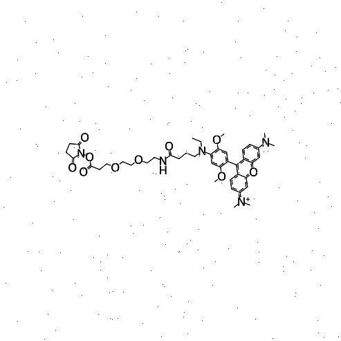 CCN(CCCC(=O)NCCOCCOCCC(=O)ON1C(=O)CCC1=O)c1cc(OC)c(-c2c3ccc(=[N+](C)C)cc-3oc3cc(N(C)C)ccc23)cc1OC